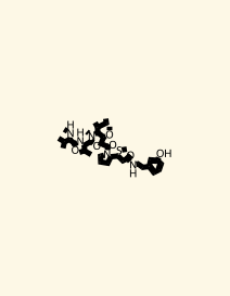 CCC(C)C(C(CC(=O)N1CCCC1C(CC(=O)NCCc1cccc(O)c1)SC)OC)N(C)C(=O)C(NC(=O)C(NC)C(C)C)C(C)C